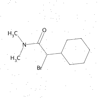 CN(C)C(=O)C(Br)C1CCCCC1